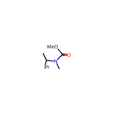 COC(=O)N(C)C(C)C(C)C